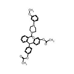 COc1cccc(N2CCN(C(=O)c3ccccc3C(c3ccc(OC(C)=O)cc3)c3ccc(OC(C)=O)cc3)CC2)c1